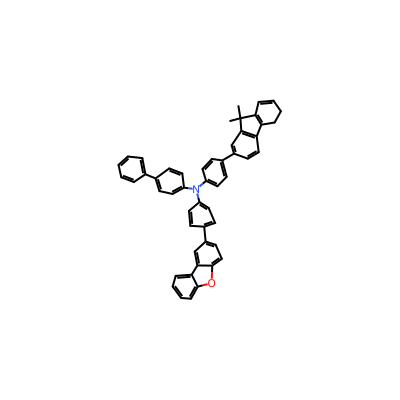 CC1(C)C2=C(CCC=C2)c2ccc(-c3ccc(N(c4ccc(-c5ccccc5)cc4)c4ccc(-c5ccc6oc7ccccc7c6c5)cc4)cc3)cc21